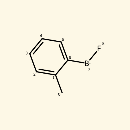 Cc1ccccc1[B]F